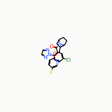 O=C(c1cc(Cl)ccc1-n1nccn1)N1C2CCC1C(COc1ccc(F)cn1)C2